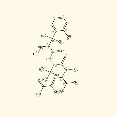 CN[C@H](C(=O)N[C@H](C(=O)N(C)[C@H](/C=C(\C)C(=O)O)C(C)C)C(C)(C)C)C(C)(C)c1ccccc1O